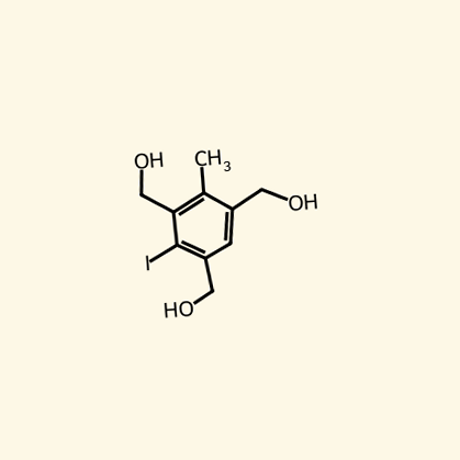 Cc1c(CO)cc(CO)c(I)c1CO